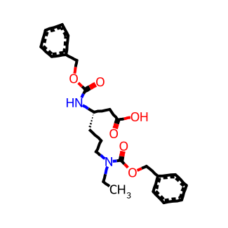 CCN(CCC[C@@H](CC(=O)O)NC(=O)OCc1ccccc1)C(=O)OCc1ccccc1